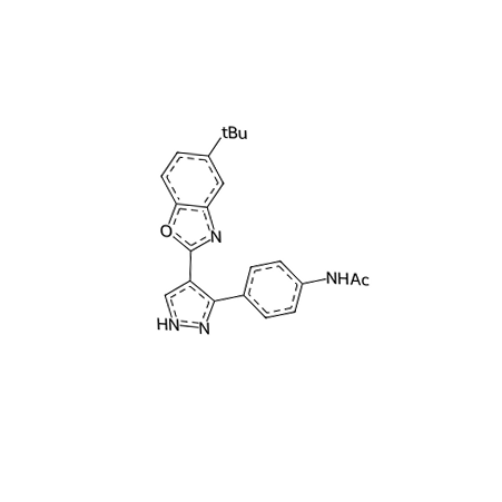 CC(=O)Nc1ccc(-c2n[nH]cc2-c2nc3cc(C(C)(C)C)ccc3o2)cc1